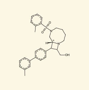 Cc1cccc(-c2ccc(C3C(CO)N4CCCCN(S(=O)(=O)c5ccccc5C)C[C@@H]34)cc2)c1